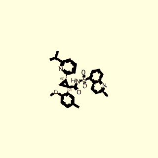 COc1ccc(C)cc1[C@]1(C(=O)NS(=O)(=O)c2cccc3nc(C)ccc23)C[C@@H]1c1cccc(C(C)C)n1